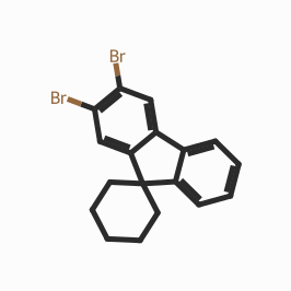 Brc1cc2c(cc1Br)C1(CCCCC1)c1ccccc1-2